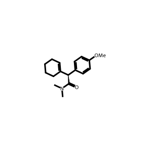 COc1ccc([C@@H](C(=O)N(C)C)C2=CCCCC2)cc1